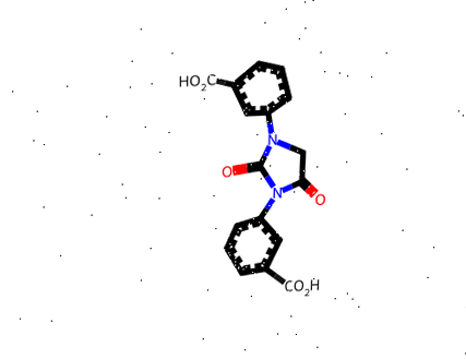 O=C(O)c1cccc(N2CC(=O)N(c3cccc(C(=O)O)c3)C2=O)c1